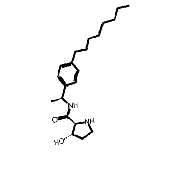 CCCCCCCCc1ccc([C@H](C)NC(=O)[C@H]2NCC[C@@H]2O)cc1